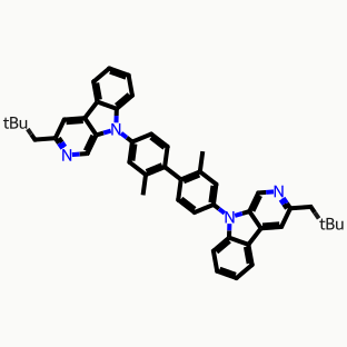 Cc1cc(-n2c3ccccc3c3cc(CC(C)(C)C)ncc32)ccc1-c1ccc(-n2c3ccccc3c3cc(CC(C)(C)C)ncc32)cc1C